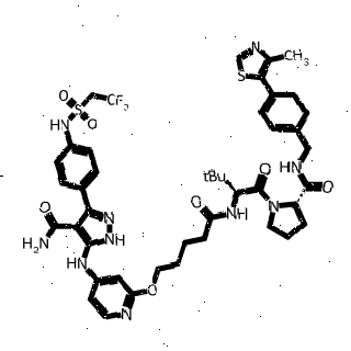 Cc1ncsc1C1=CC=C(CNC(=O)[C@@H]2CCCN2C(=O)[C@@H](NC(=O)CCCCOc2cc(Nc3[nH]nc(-c4ccc(NS(=O)(=O)CC(F)(F)F)cc4)c3C(N)=O)ccn2)C(C)(C)C)CC1